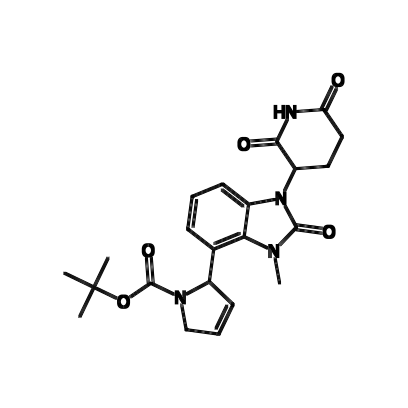 Cn1c(=O)n(C2CCC(=O)NC2=O)c2cccc(C3C=CCN3C(=O)OC(C)(C)C)c21